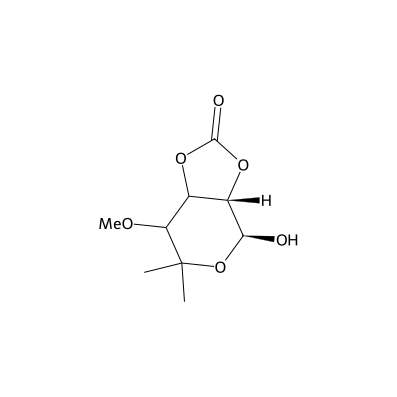 COC1C2OC(=O)O[C@@H]2[C@@H](O)OC1(C)C